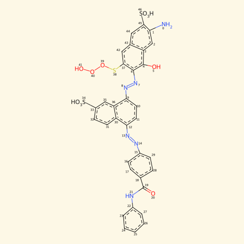 Nc1cc2c(O)c(N=Nc3ccc(N=Nc4ccc(C(=O)Nc5ccccc5)cc4)c4ccc(S(=O)(=O)O)cc34)c(SOOO)cc2cc1S(=O)(=O)O